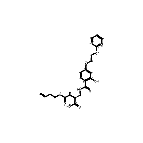 C=CCCOC(=O)N[C@@H](CNC(=O)c1ccc(OCCNc2ncccn2)cc1O)C(=O)O